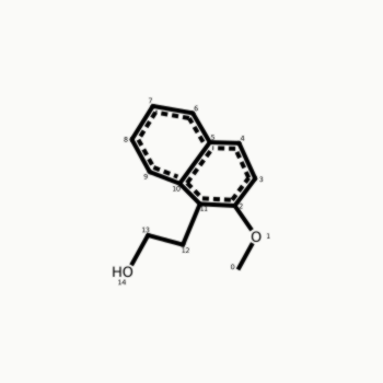 COc1ccc2ccccc2c1CCO